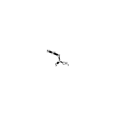 CS(=S)N=[N+]=[N-]